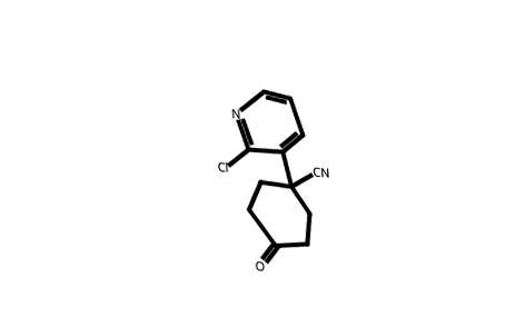 N#CC1(c2cccnc2Cl)CCC(=O)CC1